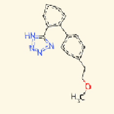 COCCc1ccc(-c2ccccc2-c2nnn[nH]2)cc1